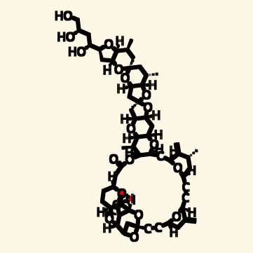 C=C1C[C@@H]2CC[C@]34CC(O3)[C@@H]3O[C@H]5CC[C@H](CC(=O)O[C@@H]6[C@@H](C)[C@@H]7O[C@@H]8C[C@@]9(C[C@@H]%10O[C@]%11(C[C@H](C)[C@@H]%12O[C@H]([C@@H](O)C[C@@H](O)CO)C[C@@H]%12O%11)C[C@H](C)[C@@H]%10O9)O[C@@H]8C[C@@H]7O[C@H]6C[C@H]6O[C@@H](CC[C@@H]1O2)C[C@@H](C)C6=C)O[C@@H]5[C@H](O4)[C@@H]3OC